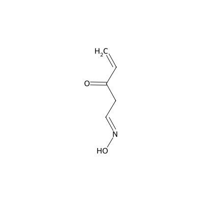 C=CC(=O)CC=NO